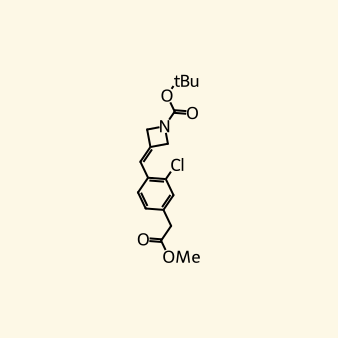 COC(=O)Cc1ccc(C=C2CN(C(=O)OC(C)(C)C)C2)c(Cl)c1